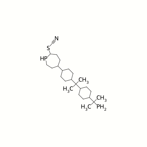 CC(C)(P)C1CCC(C(C)(C)C2CCC(C3CCPC(SC#N)CC3)CC2)CC1